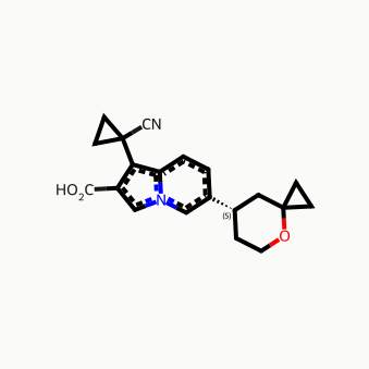 N#CC1(c2c(C(=O)O)cn3cc([C@H]4CCOC5(CC5)C4)ccc23)CC1